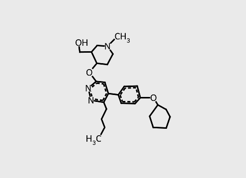 CCCCc1nnc(OC2CCN(C)CC2CO)cc1-c1ccc(OC2CCCCC2)cc1